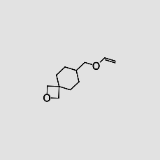 C=COCC1CCC2(CC1)COC2